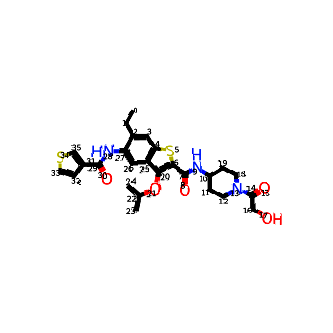 CCc1cc2sc(C(=O)NC3CCN(C(=O)CO)CC3)c(OC(C)C)c2cc1NC(=O)c1ccsc1